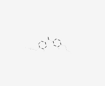 CC(=O)NCc1ccc(C(=O)c2ccc(CCC(=O)O)cc2)cc1